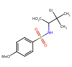 CCC(C)(C)C(NS(=O)(=O)c1ccc(OC)cc1)C(=O)O